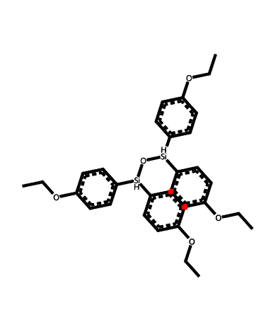 CCOc1ccc([SiH](O[SiH](c2ccc(OCC)cc2)c2ccc(OCC)cc2)c2ccc(OCC)cc2)cc1